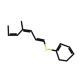 C\C=C/C(C)=C\C=C\SC1=CC=CCC1